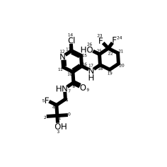 CC(C)(O)C(F)CNC(=O)c1cnc(Cl)cc1NC1CCCC(F)(F)C1O